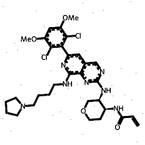 C=CC(=O)N[C@H]1CCOC[C@H]1Nc1ncc2cc(-c3c(Cl)c(OC)cc(OC)c3Cl)nc(NCCCCN3CCCC3)c2n1